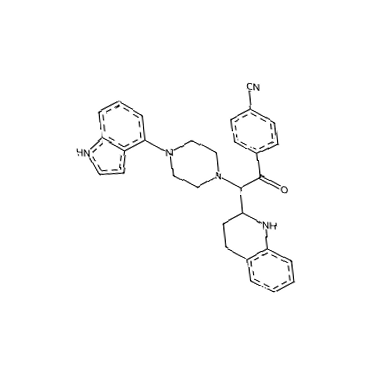 N#Cc1ccc(C(=O)C(C2CCc3ccccc3N2)N2CCN(c3cccc4[nH]ccc34)CC2)cc1